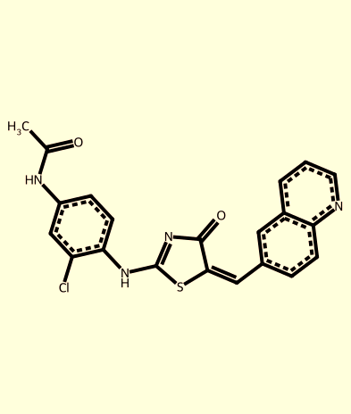 CC(=O)Nc1ccc(NC2=NC(=O)C(=Cc3ccc4ncccc4c3)S2)c(Cl)c1